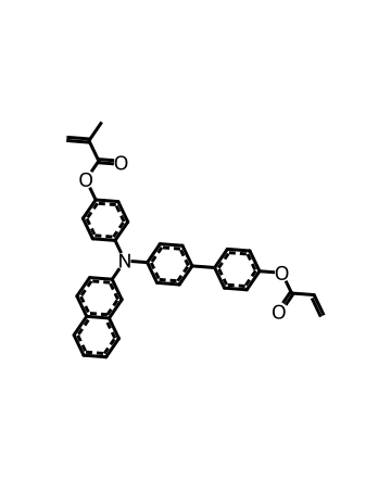 C=CC(=O)Oc1ccc(-c2ccc(N(c3ccc(OC(=O)C(=C)C)cc3)c3ccc4ccccc4c3)cc2)cc1